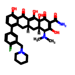 CN(C)[C@@H]1C(O)=C(C(N)=O)C(=O)[C@@]2(O)C(O)=C3C(=O)c4c(O)ccc(-c5ccc(F)c(CN6CCCCC6)c5)c4C[C@H]3C[C@@H]12